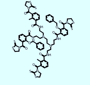 Cc1c(C(=O)NCCN(CCNC(=O)c2cccc(C(=O)N3CCSC3=S)c2OCc2ccccc2)CCN(CCNC(=O)c2cccc(C(=O)N3CCSC3=S)c2C)CCNC(=O)c2cccc(C(=O)N3CCSC3=S)c2OCc2ccccc2)cccc1C(=O)N1CCSC1=S